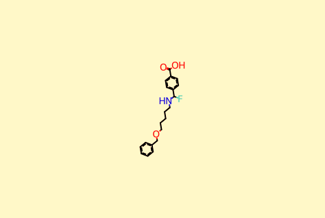 O=C(O)c1ccc(C(F)NCCCCCOCc2ccccc2)cc1